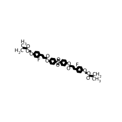 C=C(C)C(=O)OCOc1ccc(C=CC(=O)Oc2ccc(S(=O)(=O)c3ccc(OC(=O)C=Cc4ccc(OCOC(=O)C(=C)C)cc4F)cc3)cc2)c(F)c1